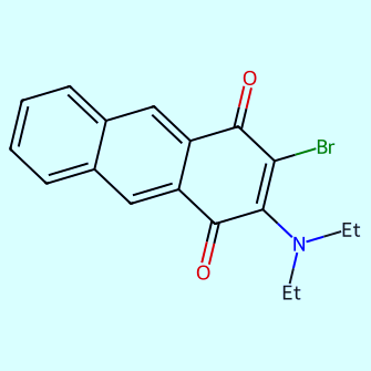 CCN(CC)C1=C(Br)C(=O)c2cc3ccccc3cc2C1=O